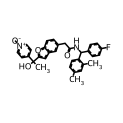 Cc1ccc(C(NC(=O)Cc2ccc3oc(C(C)(O)c4cc[n+]([O-])cc4)cc3c2)c2ccc(F)cc2)c(C)c1